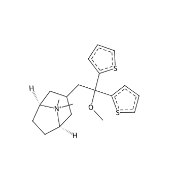 COC(CC1C[C@H]2CC[C@@H](C1)[N+]2(C)C)(c1cccs1)c1cccs1